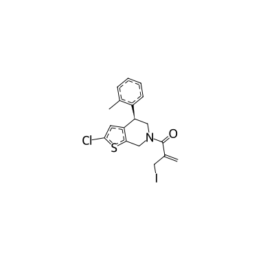 C=C(CI)C(=O)N1Cc2sc(Cl)cc2[C@@H](c2ccccc2C)C1